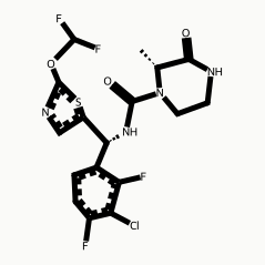 C[C@@H]1C(=O)NCCN1C(=O)N[C@@H](c1cnc(OC(F)F)s1)c1ccc(F)c(Cl)c1F